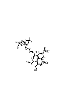 CC(C)(C)OP(=O)(OCCNC(=O)c1cc([N+](=O)[O-])cc([N+](=O)[O-])c1N(CCI)CCI)OC(C)(C)C